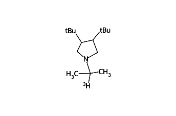 [3H]C(C)(C)N1CC(C(C)(C)C)C(C(C)(C)C)C1